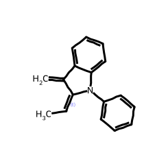 C=c1/c(=C\C)n(-c2ccccc2)c2ccccc12